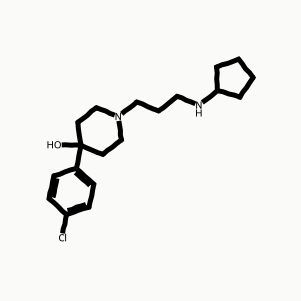 OC1(c2ccc(Cl)cc2)CCN(CCCNC2CCCC2)CC1